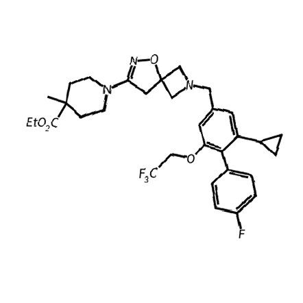 CCOC(=O)C1(C)CCN(C2=NOC3(C2)CN(Cc2cc(OCC(F)(F)F)c(-c4ccc(F)cc4)c(C4CC4)c2)C3)CC1